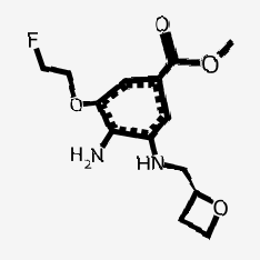 COC(=O)c1cc(NC[C@@H]2CCO2)c(N)c(OCCF)c1